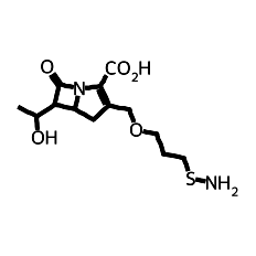 CC(O)C1C(=O)N2C(C(=O)O)=C(COCCCSN)CC12